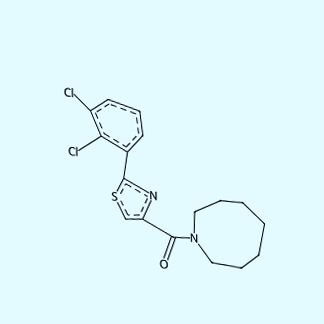 O=C(c1csc(-c2cccc(Cl)c2Cl)n1)N1CCCCCCC1